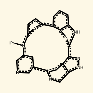 CC(C)n1c2cncc(c2)c2cc3c(cn2)[nH]nc3c2nc3c(cccc3c3ccc1s3)[nH]2